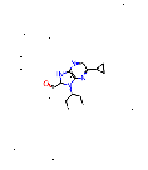 CCC(CC)N1c2nc(C3CC3)cnc2NC1C=O